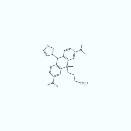 CN(C)c1ccc2c(c1)S(C)(CCCC(=O)O)c1cc(N(C)C)ccc1C2c1ccsc1